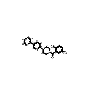 O=C(c1cc(Cl)ccc1Cl)N1CCN(c2ccc(-c3cnccn3)cn2)CC1